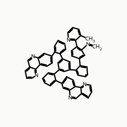 C=Nc1cc(-c2ccccc2-c2cc(-c3ccccc3-c3ccc4c(c3)ncc3cccnc34)cc(-c3ccccc3-c3ccc4c(c3)ncc3cccnc34)c2)ccc1-c1ncccc1C